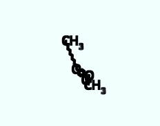 CCCCCCCCCCCOc1ccc(C(=O)OCC)cc1